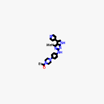 CCC(=O)N1CCN(c2ccc(Nc3nc(NC)c4c(-c5ccncc5)c[nH]c4n3)cc2)CC1